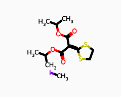 CC(C)OC(=O)C(C(=O)OC(C)C)=C1SCCS1.CI